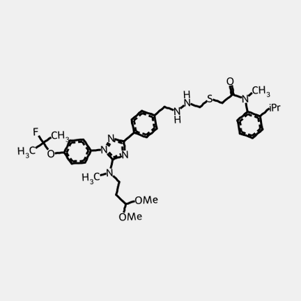 COC(CCN(C)c1nc(-c2ccc(CNNCSCC(=O)N(C)c3ccccc3C(C)C)cc2)nn1-c1ccc(OC(C)(C)F)cc1)OC